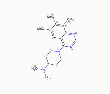 COc1cc2c(N3CCC(N(C)C)CC3)ncnc2c(OC)c1OC